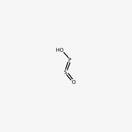 O=S=PO